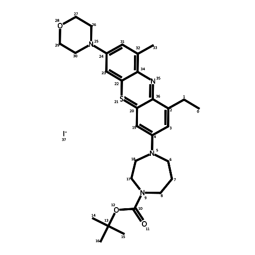 CCc1cc(N2CCCN(C(=O)OC(C)(C)C)CC2)cc2[s+]c3cc(N4CCOCC4)cc(C)c3nc12.[I-]